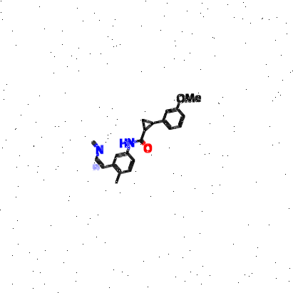 C=N/C=C\c1cc(NC(=O)C2CC2c2cccc(OC)c2)ccc1C